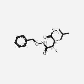 CC(C)C[C@@H](C(N)=O)[C@H](C)C(=O)NOCc1ccccc1